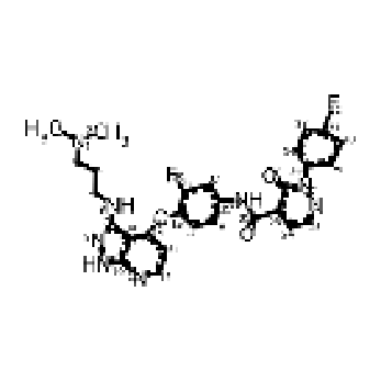 CN(C)CCCNc1n[nH]c2nccc(Oc3ccc(NC(=O)c4ccnn(-c5ccc(F)cc5)c4=O)cc3F)c12